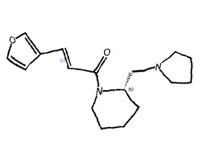 O=C(/C=C/c1ccoc1)N1CCCC[C@H]1CN1CCCC1